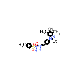 CCc1nc2c(C)c(C#N)c(C)cc2n1-c1ccc(CCNC(=O)NS(=O)(=O)c2ccc(C)cc2)cc1